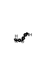 Cc1cnc(C2CCN(C(=O)c3ccc(-c4ccc5cc[nH]c5c4)cc3)CC2)[nH]1